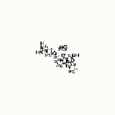 Cl.Cl.N=C(N)N1CCC(OCC[C@H]2CCCCN2C(=O)[C@H](CC(=O)O)NCC2CCCCC2)CC1